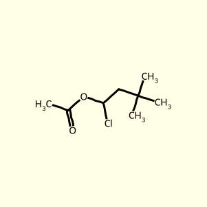 CC(=O)OC(Cl)CC(C)(C)C